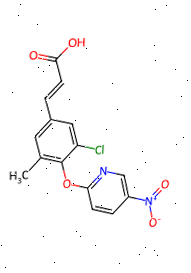 Cc1cc(/C=C/C(=O)O)cc(Cl)c1Oc1ccc([N+](=O)[O-])cn1